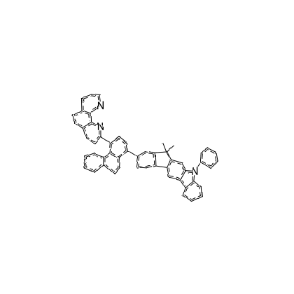 CC1(C)c2cc(-c3ccc(-c4ccc5ccc6cccnc6c5n4)c4c3ccc3ccccc34)ccc2-c2cc3c4ccccc4n(-c4ccccc4)c3cc21